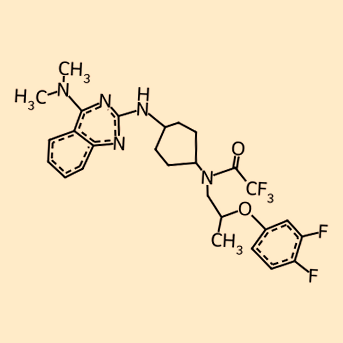 CC(CN(C(=O)C(F)(F)F)C1CCC(Nc2nc(N(C)C)c3ccccc3n2)CC1)Oc1ccc(F)c(F)c1